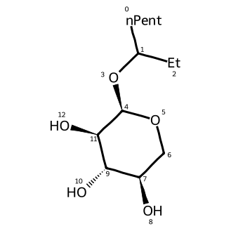 CCCCCC(CC)O[C@H]1OC[C@@H](O)[C@H](O)[C@H]1O